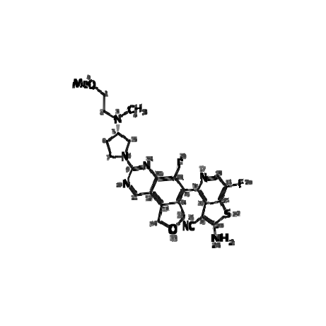 COCCN(C)[C@H]1CCN(c2ncc3c4c(c(-c5ncc(F)c6sc(N)c(C#N)c56)c(F)c3n2)COC4)C1